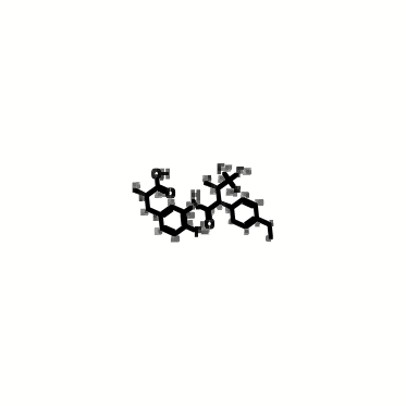 CCC1=CCC([C@@H](C(=O)Nc2cc(C[C@@H](C)C(=O)O)ccc2F)[C@@H](C)C(F)(F)F)C=C1